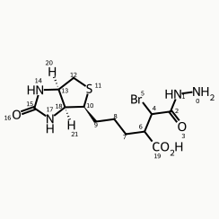 NNC(=O)C(Br)C(CCC[C@@H]1SC[C@@H]2NC(=O)N[C@@H]21)C(=O)O